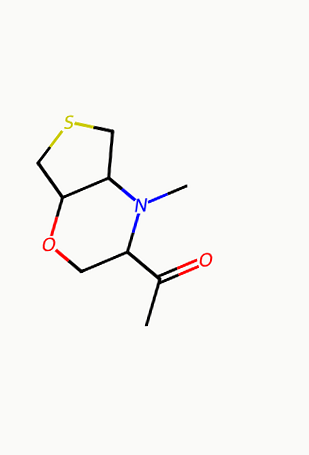 CC(=O)C1COC2CSCC2N1C